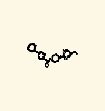 CCc1cnc(N2CCN(C(=O)c3ccc(-c4ccccc4)cc3)CC2)nc1